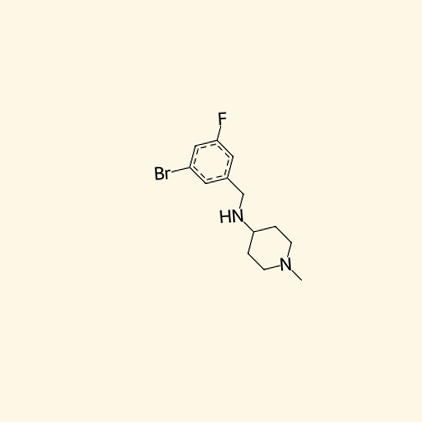 CN1CCC(NCc2cc(F)cc(Br)c2)CC1